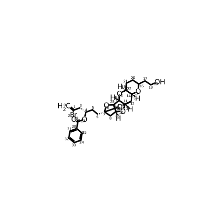 C=C(Br)C[C@H](CC[C@@]12C[C@H]3O[C@H]4C(O1)[C@H]1OC(CCO)CC[C@@H]1O[C@H]4[C@H]3O2)OC(=O)c1ccccc1